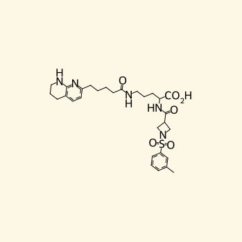 Cc1cccc(S(=O)(=O)N2CC(C(=O)NC(CCCNC(=O)CCCCc3ccc4c(n3)NCCC4)C(=O)O)C2)c1